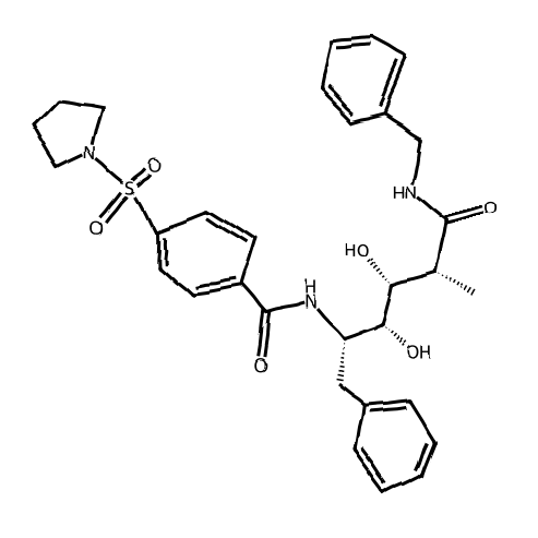 C[C@@H](C(=O)NCc1ccccc1)[C@@H](O)[C@H](O)[C@H](Cc1ccccc1)NC(=O)c1ccc(S(=O)(=O)N2CCCC2)cc1